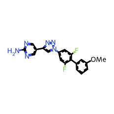 COc1cccc(-c2c(F)cc(-n3cc(-c4cnc(N)nc4)nn3)cc2F)c1